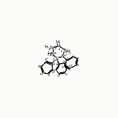 c1ccc(N2[SiH2]N[SiH2]N[Si]2(c2ccccc2)c2ccccc2)cc1